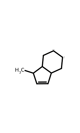 CC1C=CC2C[C][C]CC12